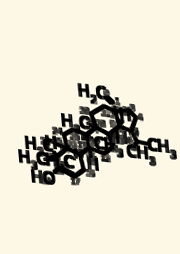 C=C[C@]12CC[C@@H](C(C)C)[C@@H]1[C@H]1CC[C@@H]3[C@@]4(C)CC=C(O)C(C)(C)[C@@H]4CC[C@@]3(C)[C@]1(C)CC2